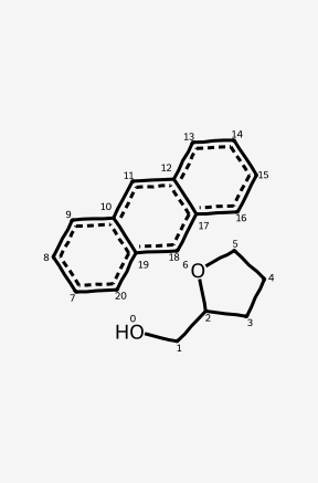 OCC1CCCO1.c1ccc2cc3ccccc3cc2c1